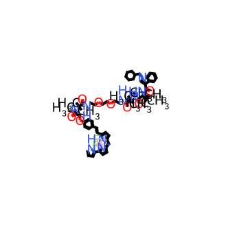 CN(C(=O)COc1ccc(/C=C/c2ccc3n2[B-](F)(F)[N+]2=C(c4ccc[nH]4)C=CC2=C3)cc1)C(C)(C)C(=O)NCCOCCOCCNC(=O)C(C)(C)N(C)C(=O)[C@@H](NC(=O)c1cn(CC2CCCCC2)c2ccccc12)C(C)(C)C